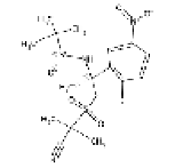 CC(C)(C)[S@@+]([O-])N[C@](C)(CS(=O)(=O)C(C)(C)C#N)c1cc([N+](=O)[O-])ccc1F